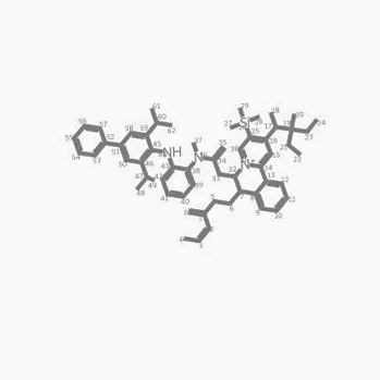 C=C(/C=C\C)CCC1c2ccccc2-c2cc(C(C)C(C)(CC)CC)c([Si](C)(C)C)c[n+]2C1CC(=C)N(C)c1ccccc1Nc1c(C(C)C)cc(-c2ccccc2)cc1C(C)C